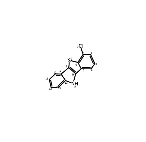 Clc1cccc2c1sc1c3ccccc3[nH]c21